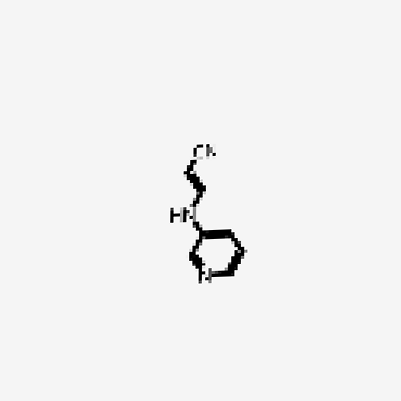 N#CC=CNc1cccnc1